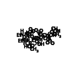 CCNc1cc(NCC)cc(NCc2cc(C(C)(C)c3cc(Cc4cc(C)c(O)c(C)c4)c(O)c(Cc4cc(C(C)(C)c5cc(Cc6cc(C)c(O)c(C)c6)c(O)c(CP6(=O)Cc7ccccc7-c7ccccc76)c5)cc(CP5(=O)Cc6ccccc6-c6ccccc65)c4O)c3)cc(CP3(=O)Cc4ccccc4-c4ccccc43)c2O)c1